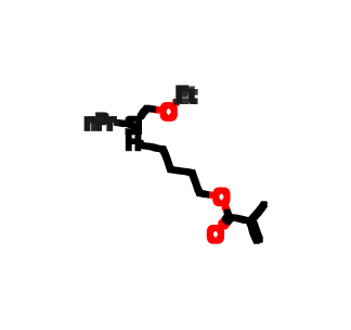 C=C(C)C(=O)OCCCCC[SiH](CCC)COCC